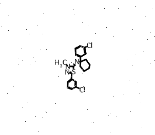 Cn1nc(-c2cccc(Cl)c2)sc1=NC1(c2cccc(Cl)c2)CCCCC1